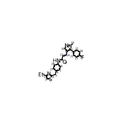 CCc1csc(Cc2ccc(NC(=O)/C=C/c3cnn(C)c3-c3ccc(F)cc3)cc2)n1